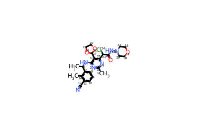 Cc1nc(NC(C)c2cccc(C#N)c2C)c(C2OCCO2)c(C(Cl)C(=O)NN2CCOCC2)n1